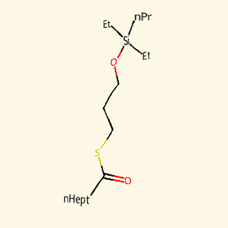 CCCCCCCC(=O)SCCCO[Si](CC)(CC)CCC